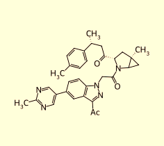 CC(=O)c1nn(CC(=O)N2C3C[C@]3(C)C[C@H]2C(=O)C[C@@H](C)c2ccc(C)cc2)c2ccc(-c3cnc(C)nc3)cc12